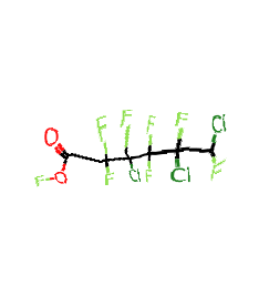 O=C(OF)C(F)(F)C(F)(Cl)C(F)(F)C(F)(Cl)C(F)Cl